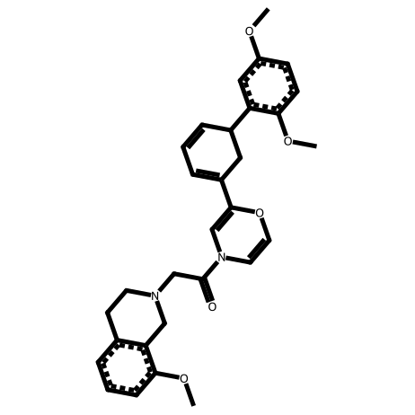 COc1ccc(OC)c(C2C=CC=C(C3=CN(C(=O)CN4CCc5cccc(OC)c5C4)C=CO3)C2)c1